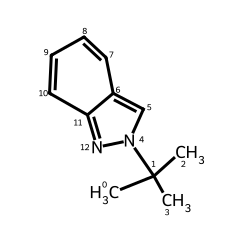 CC(C)(C)n1cc2ccccc2n1